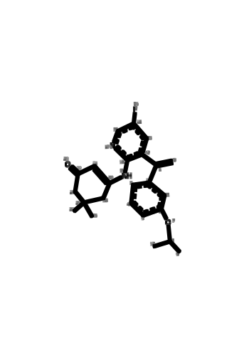 C=C(c1cccc(OC(C)C)c1)c1cc(F)cnc1NC1=CC(=O)CC(C)(C)C1